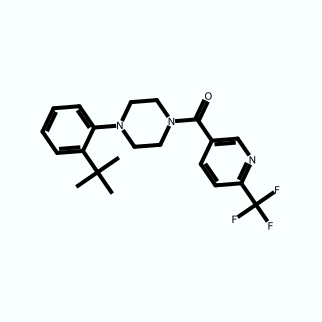 CC(C)(C)c1ccccc1N1CCN(C(=O)c2ccc(C(F)(F)F)nc2)CC1